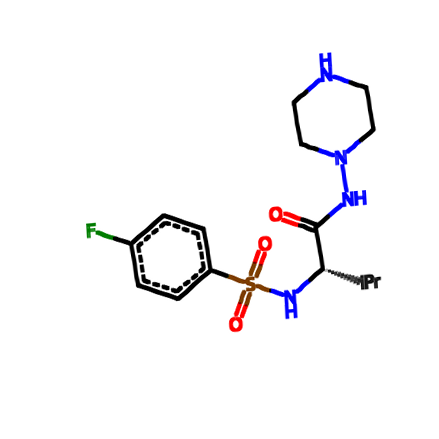 CC(C)[C@H](NS(=O)(=O)c1ccc(F)cc1)C(=O)NN1CCNCC1